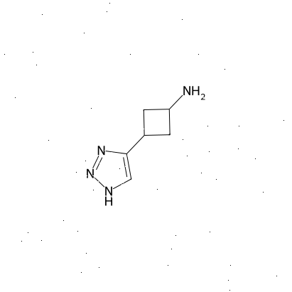 NC1CC(c2c[nH]nn2)C1